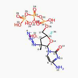 C[C@]1(N=[N+]=[N-])C(n2ccc(N)nc2=O)O[C@](F)(COP(=O)(O)OP(=O)(O)OP(=O)(O)O)[C@H]1O